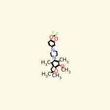 COc1c(C)c(N2CCN(c3ccc4c(c3)OC(F)(F)O4)CC2)c(C)c2c1OC(C)(C)C2